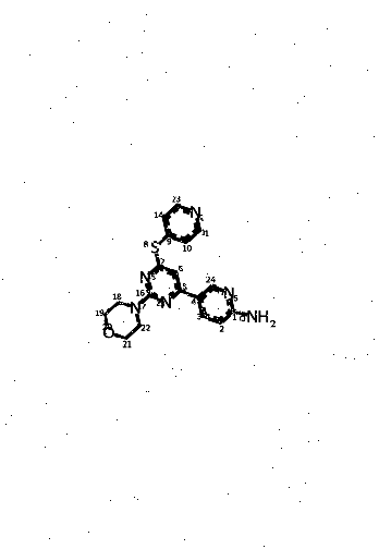 Nc1ccc(-c2cc(Sc3ccncc3)nc(N3CCOCC3)n2)cn1